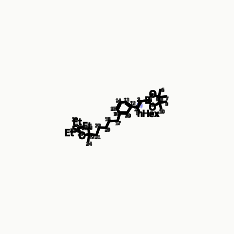 CCCCCC/C(=C\B1OC(C)(C)C(C)(C)O1)c1cccc(CCCCCC(C)(C)O[Si](CC)(CC)CC)c1